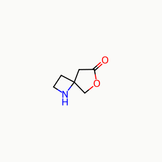 O=C1CC2(CCN2)CO1